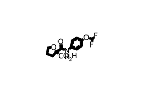 O=C(O)C1(C(=O)Nc2ccc(OC(F)F)cc2)CCCO1